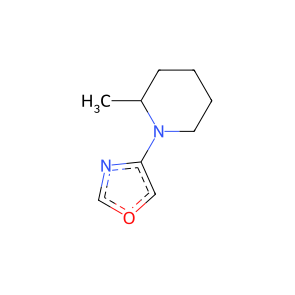 CC1CCCCN1c1cocn1